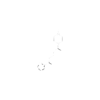 CN1CCN(C(=S)SCCC(=O)c2ccco2)CC1